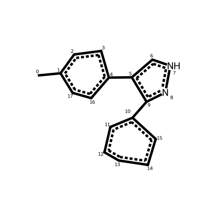 Cc1ccc(-c2c[nH]nc2-c2ccccc2)cc1